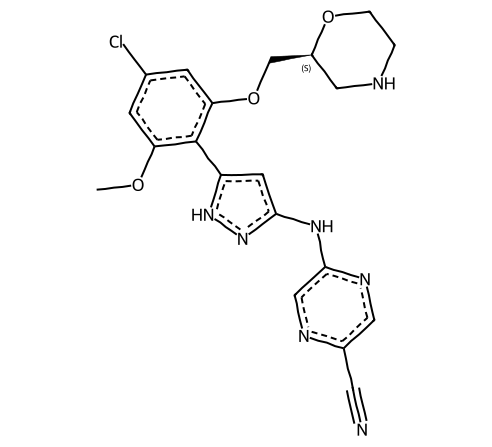 COc1cc(Cl)cc(OC[C@@H]2CNCCO2)c1-c1cc(Nc2cnc(C#N)cn2)n[nH]1